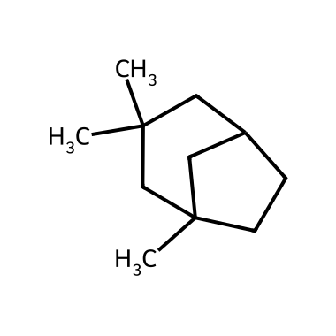 CC1(C)CC2CCC(C)(C2)C1